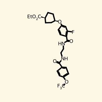 CCOC(=O)[C@H]1CC[C@@H](Oc2ccc(C(=O)NCCNC(=O)c3ccc(OC(F)(F)F)cc3)c(F)c2)CC1